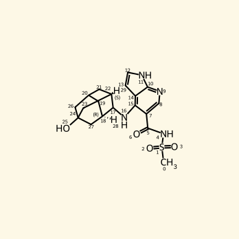 CS(=O)(=O)NC(=O)c1cnc2[nH]ccc2c1NC1[C@@H]2CC3C[C@H]1CC(O)(C3)C2